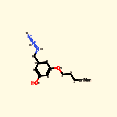 CCCCCCCCCCCCOc1cc(O)cc(CN=[N+]=[N-])c1